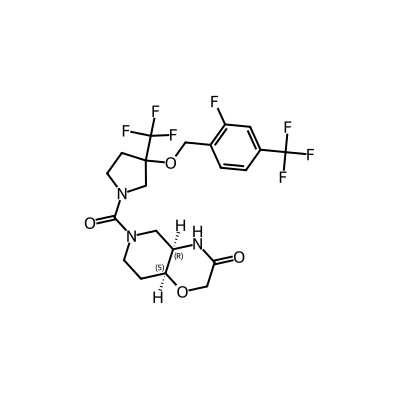 O=C1CO[C@H]2CCN(C(=O)N3CCC(OCc4ccc(C(F)(F)F)cc4F)(C(F)(F)F)C3)C[C@H]2N1